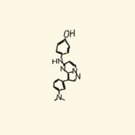 CN(C)c1cccc(-c2cnn3ccc(Nc4ccc(O)cc4)nc23)c1